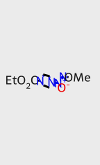 CCOC(=O)N1CCN(/[N+]([O-])=N/OC)CC1